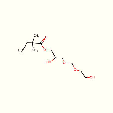 CCC(C)(C)C(=O)OCC(O)COCOCCO